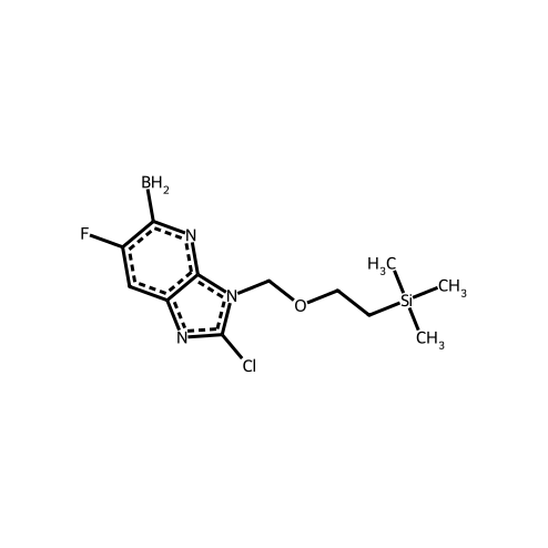 Bc1nc2c(cc1F)nc(Cl)n2COCC[Si](C)(C)C